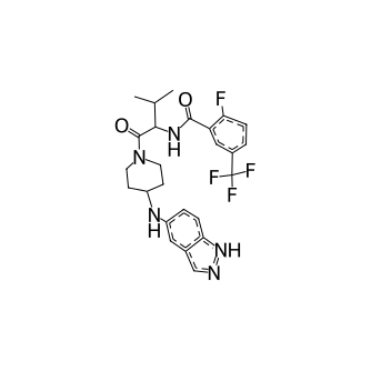 CC(C)C(NC(=O)c1cc(C(F)(F)F)ccc1F)C(=O)N1CCC(Nc2ccc3[nH]ncc3c2)CC1